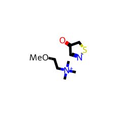 COCC[N+](C)(C)C.O=C1C=NSC1